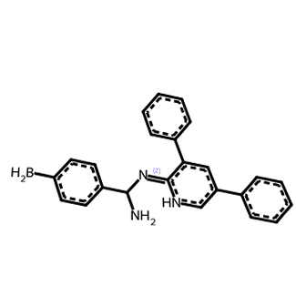 Bc1ccc(C(N)/N=c2\[nH]cc(-c3ccccc3)cc2-c2ccccc2)cc1